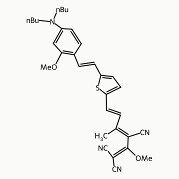 CCCCN(CCCC)c1ccc(/C=C/c2ccc(/C=C/C(C)=C(\C#N)C(OC)=C(C#N)C#N)s2)c(OC)c1